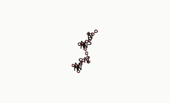 c1ccc(-c2ccc3c(c2)c2ccccc2n3-c2ccc3sc4cc(-c5nc(-c6ccccc6)nc(-c6ccc(-c7ccc(-c8ccc9c%10ccccc%10n(-c%10ccc%11sc%12cc(-c%13nc(-c%14ccccc%14)nc(-c%14ccccc%14)n%13)ccc%12c%11c%10)c9c8)cc7)cc6)n5)ccc4c3c2)cc1